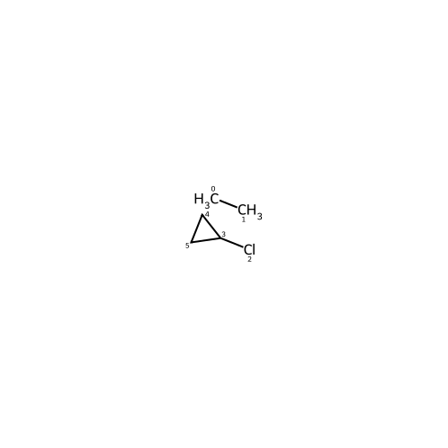 CC.ClC1CC1